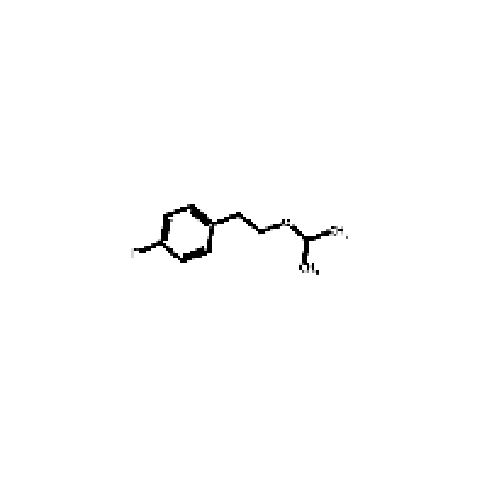 CC(C)OCCc1ccc(F)cc1